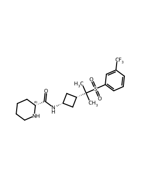 CC(C)([C@H]1C[C@@H](NC(=O)[C@H]2CCCCN2)C1)S(=O)(=O)c1cccc(C(F)(F)F)c1